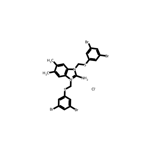 Cc1cc2c(cc1C)[n+](CSc1cc(Br)cc(Br)c1)c(N)n2CSc1cc(Br)cc(Br)c1.[Cl-]